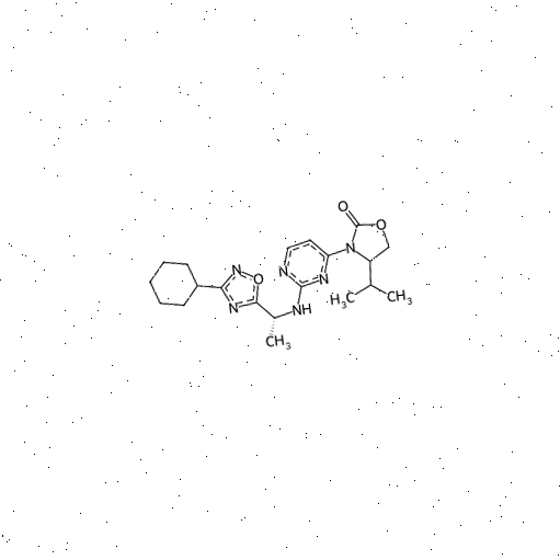 CC(C)C1COC(=O)N1c1ccnc(N[C@H](C)c2nc(C3CCCCC3)no2)n1